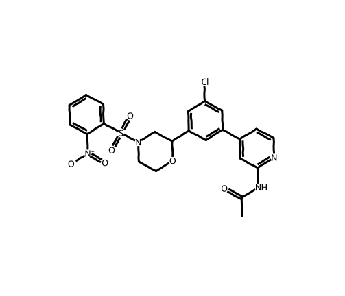 CC(=O)Nc1cc(-c2cc(Cl)cc(C3CN(S(=O)(=O)c4ccccc4[N+](=O)[O-])CCO3)c2)ccn1